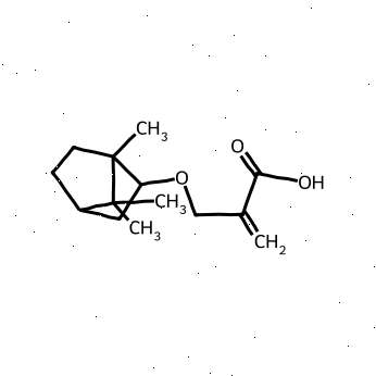 C=C(COC1CC2CCC1(C)C2(C)C)C(=O)O